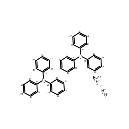 [H-].[H-].[H-].[H-].[Ru+4].c1ccc(P(c2ccccc2)c2ccccc2)cc1.c1ccc(P(c2ccccc2)c2ccccc2)cc1